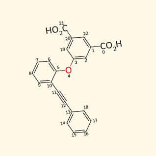 O=C(O)c1cc(Oc2ccccc2C#Cc2ccccc2)cc(C(=O)O)c1